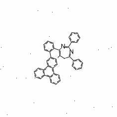 CC1=C(c2ccccc2-c2ccc3c4ccccc4c4ccccc4c3c2)N=C(c2ccccc2)N=C(c2ccccc2)C1